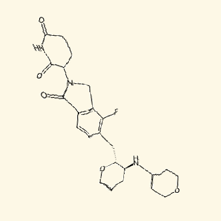 O=C1CCC(N2Cc3c(ccc(C[C@H]4OCCC[C@@H]4NC4CCOCC4)c3F)C2=O)C(=O)N1